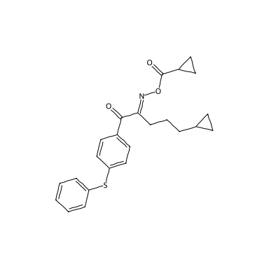 O=C(/C(CCCC1CC1)=N/OC(=O)C1CC1)c1ccc(Sc2ccccc2)cc1